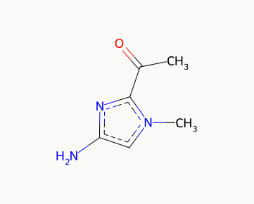 CC(=O)c1nc(N)cn1C